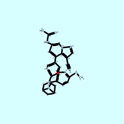 COc1ccc(CN2C3CC2CN(c2ccc(-c4cc(NC(=O)O)cn5ncc(C#N)c45)cn2)C3)cn1